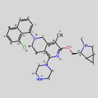 CN1CC2CC2[C@H]1COc1nc(N2CCNCC2)c2c(c1C#N)CN(c1cccc3cccc(Cl)c13)CC2